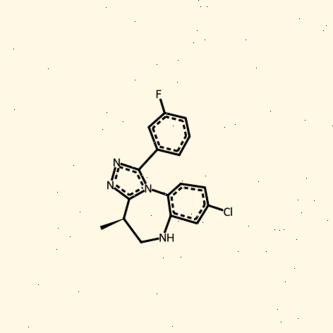 C[C@@H]1CNc2cc(Cl)ccc2-n2c(-c3cccc(F)c3)nnc21